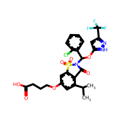 CC(C)c1cc(OCCCC(=O)O)cc2c1C(=O)N(C(Oc1cc(C(F)(F)F)n[nH]1)c1ccccc1Cl)S2(=O)=O